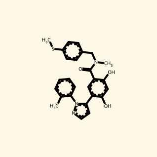 CSc1ccc(CN(C)C(=O)c2cc(-c3ccnn3-c3ccccc3C)c(O)cc2O)cc1